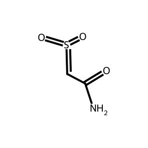 NC(=O)C=S(=O)=O